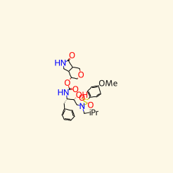 COc1ccc(S(=O)(=O)N(CC(C)C)C[C@@H](O)[C@H](Cc2ccccc2)NC(=O)OC2COCC3C(=O)NCC23)cc1